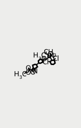 CCOC(=O)c1onc2cc(-c3ccc(OCc4c(-c5c(Cl)cccc5Cl)noc4C(C)C)cc3)ccc12